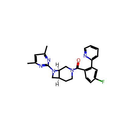 Cc1cc(C)nc(N2C[C@@H]3CCN(C(=O)c4ccc(F)cc4-c4ccccn4)C[C@@H]32)n1